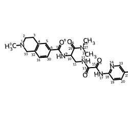 CN1CCc2cc(C(=O)NC(CNC(=O)C(=O)Nc3ccc(Cl)cn3)C(=O)N(C)C)ccc2C1